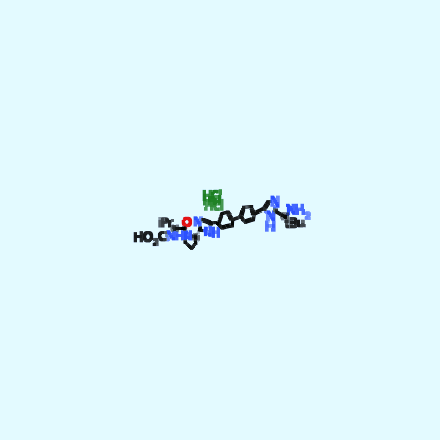 CC(C)[C@H](NC(=O)O)C(=O)N1CCC[C@H]1c1ncc(-c2ccc(-c3ccc(-c4cnc([C@@H](N)C(C)(C)C)[nH]4)cc3)cc2)[nH]1.Cl.Cl.Cl